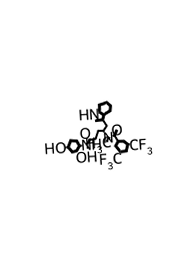 CN(C(=O)c1cc(C(F)(F)F)cc(C(F)(F)F)c1)C(CCC(=O)Nc1ccc(O)cc1O)Cc1c[nH]c2ccccc12